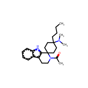 CCCCC1(N(C)C)CCC2(CC1)c1[nH]c3ccccc3c1CCN2C(C)=O